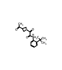 CC(=O)C1CN(C(=O)C(=O)Nc2ccccc2C(C)(C)C)C1